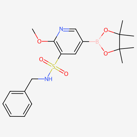 COc1ncc(B2OC(C)(C)C(C)(C)O2)cc1S(=O)(=O)NCc1ccccc1